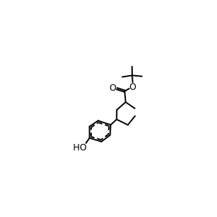 CCC(CC(C)C(=O)OC(C)(C)C)c1ccc(O)cc1